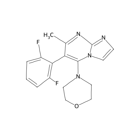 Cc1nc2nccn2c(N2CCOCC2)c1-c1c(F)cccc1F